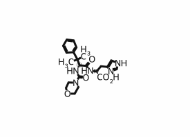 CC(C)(c1ccccc1)[C@H](NC(=O)N1CCOCC1)C(=O)N[C@H](Cc1c[nH]cn1)C(=O)O